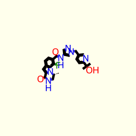 C[C@@H]1CNC(=O)c2cc3ccc(C(=O)Nc4cnn(Cc5ccc(C(C)(C)O)nc5)c4)c(F)c3n21